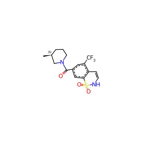 C[C@H]1CCCN(C(=O)c2cc(C(F)(F)F)c3c(c2)S(=O)(=O)NC=C3)C1